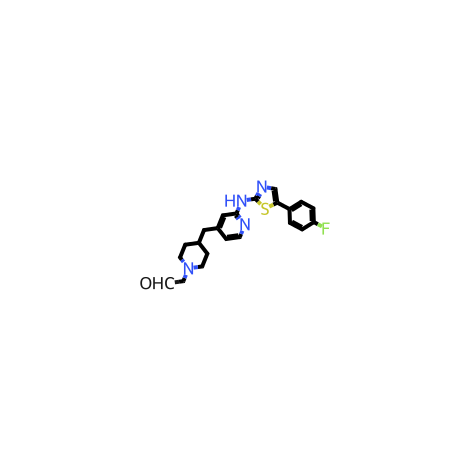 O=CCN1CCC(Cc2ccnc(Nc3ncc(-c4ccc(F)cc4)s3)c2)CC1